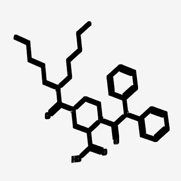 CCCCCN(CCCCC)C(=O)N1CCN(C(=O)N(c2ccccc2)c2ccccc2)C(C(=O)O)C1